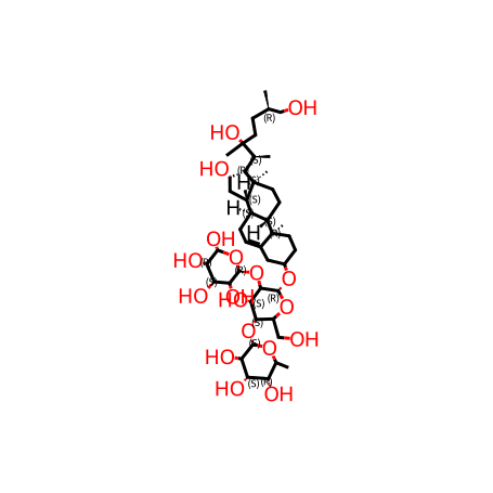 CC1O[C@@H](O[C@@H]2C(CO)O[C@@H](OC3CC[C@@]4(C)C(=CC[C@H]5[C@@H]6CC(O)[C@H]([C@H](C)C(C)(O)CC[C@@H](C)CO)[C@@]6(C)CC[C@@H]54)C3)C(O[C@@H]3OC(O)[C@H](O)[C@H](O)C3O)[C@H]2O)C(O)[C@@H](O)[C@H]1O